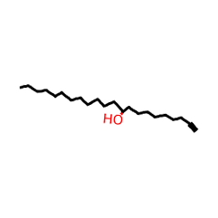 C#CCCCCCCCC(O)CCCCCCCCCCCC